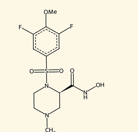 COc1c(F)cc(S(=O)(=O)N2CCN(C)C[C@@H]2C(=O)NO)cc1F